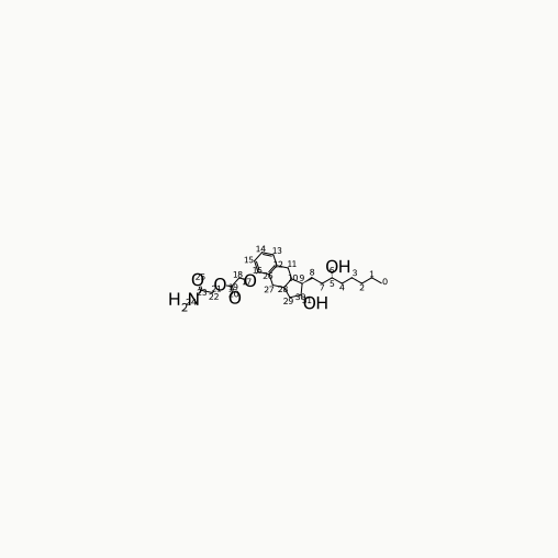 CCCCC[C@@H](O)CC[C@@H]1C2Cc3cccc(OCC(=O)OCC(N)=O)c3CC2C[C@H]1O